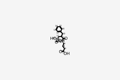 O=C(O)CCCNC(=O)C(Cc1ccccc1)CP(=O)(O)O